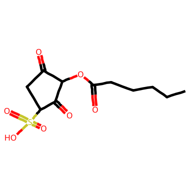 CCCCCC(=O)OC1C(=O)CC(S(=O)(=O)O)C1=O